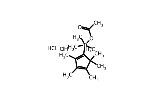 CC(=O)[O][Ti]([CH3])([CH3])([CH3])[C]1=C(C)C(C)=C(C)C1(C)C.Cl.Cl